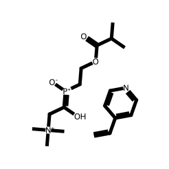 C=Cc1ccncc1.CC(C)C(=O)OCC/[P+]([O-])=C(\O)C[N+](C)(C)C